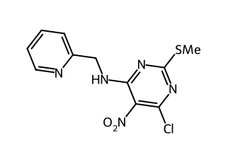 CSc1nc(Cl)c([N+](=O)[O-])c(NCc2ccccn2)n1